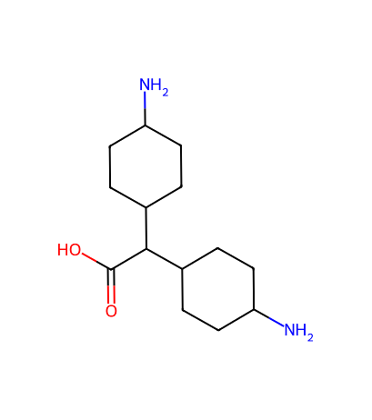 NC1CCC(C(C(=O)O)C2CCC(N)CC2)CC1